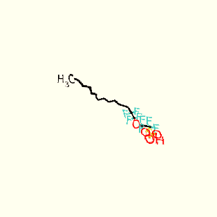 CCCCCCCCCCCCC(F)(F)C(F)(F)OC(F)(F)C(F)(F)S(=O)(=O)O